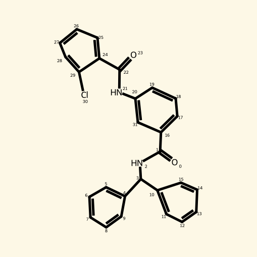 O=C(NC(c1ccccc1)c1ccccc1)c1cccc(NC(=O)c2ccccc2Cl)c1